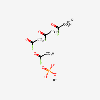 O=C(O)C(=O)F.O=C(O)C(=O)F.O=C(O)C(=O)F.O=C(O)C(=O)F.O=P([O-])([O-])[O-].[K+].[K+].[K+]